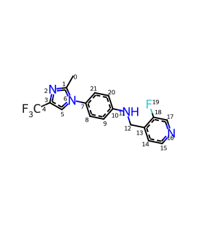 Cc1nc(C(F)(F)F)cn1-c1ccc(NCc2ccncc2F)cc1